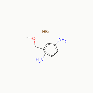 Br.COCc1cc(N)ccc1N